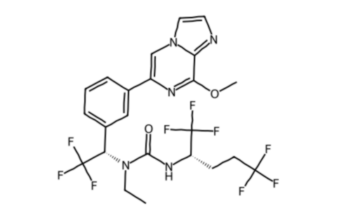 CCN(C(=O)N[C@@H](CCC(F)(F)F)C(F)(F)F)[C@@H](c1cccc(-c2cn3ccnc3c(OC)n2)c1)C(F)(F)F